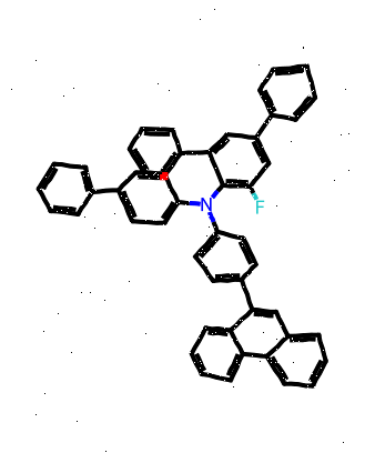 Fc1cc(-c2ccccc2)cc(-c2ccccc2)c1N(c1ccc(-c2ccccc2)cc1)c1ccc(-c2cc3ccccc3c3ccccc23)cc1